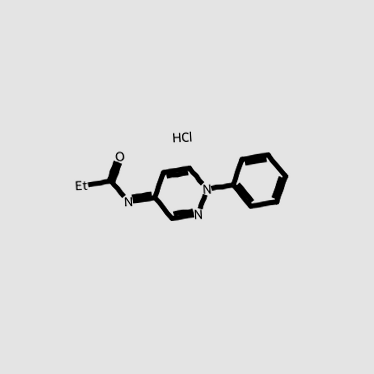 CCC(=O)N=c1ccn(-c2ccccc2)nc1.Cl